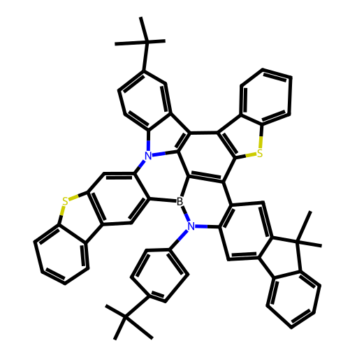 CC(C)(C)c1ccc(N2B3c4cc5c(cc4-n4c6ccc(C(C)(C)C)cc6c6c7c(sc8ccccc87)c(c3c64)-c3cc4c(cc32)-c2ccccc2C4(C)C)sc2ccccc25)cc1